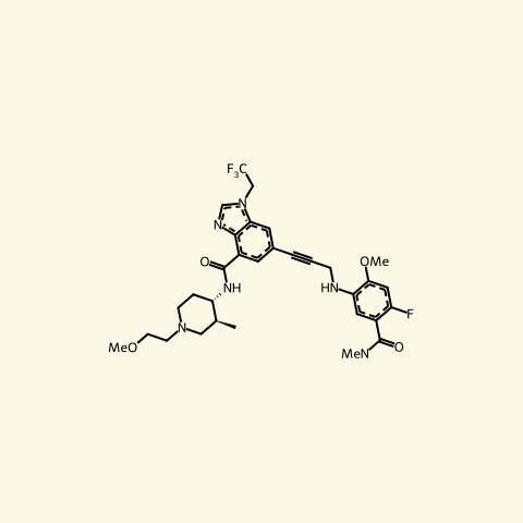 CNC(=O)c1cc(NCC#Cc2cc(C(=O)N[C@H]3CCN(CCOC)C[C@@H]3C)c3ncn(CC(F)(F)F)c3c2)c(OC)cc1F